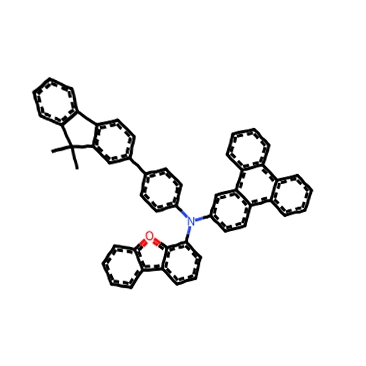 CC1(C)c2ccccc2-c2ccc(-c3ccc(N(c4ccc5c6ccccc6c6ccccc6c5c4)c4cccc5c4oc4ccccc45)cc3)cc21